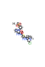 Cc1ncc(Cl)cc1N[C@@H](C)c1ccc(C(=O)N[C@@H](CC2CCCC2)C(=O)Nc2cccc(S(C)(=O)=O)c2)s1